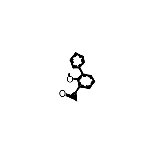 COc1c(-c2ccccc2)cccc1-c1cc1=O